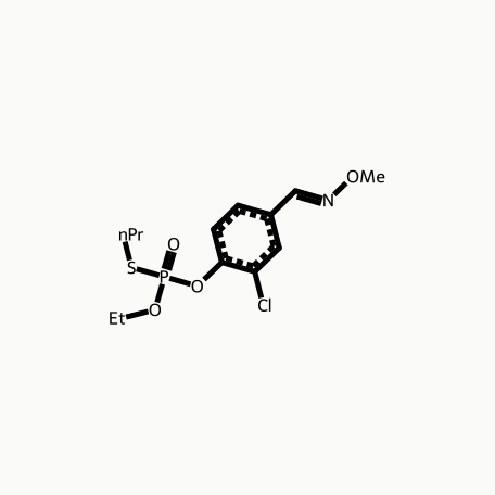 CCCSP(=O)(OCC)Oc1ccc(C=NOC)cc1Cl